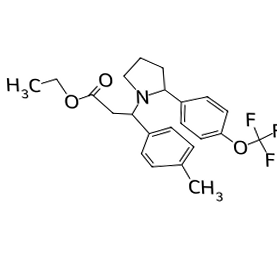 CCOC(=O)CC(c1ccc(C)cc1)N1CCCC1c1ccc(OC(F)(F)F)cc1